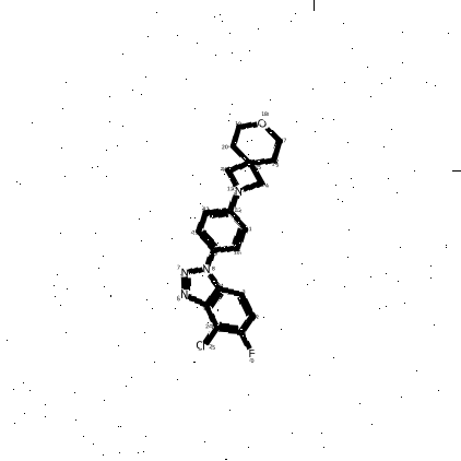 Fc1ccc2c(nnn2-c2ccc(N3CC4(CCOCC4)C3)cc2)c1Cl